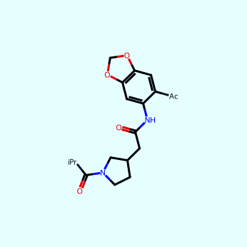 CC(=O)c1cc2c(cc1NC(=O)CC1CCN(C(=O)C(C)C)C1)OCO2